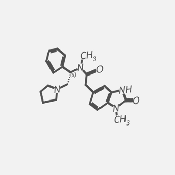 CN(C(=O)Cc1ccc2c(c1)[nH]c(=O)n2C)[C@H](CN1CCCC1)c1ccccc1